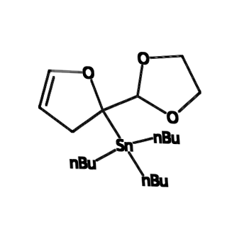 CCC[CH2][Sn]([CH2]CCC)([CH2]CCC)[C]1(C2OCCO2)CC=CO1